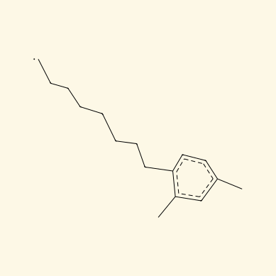 [CH2]CCCCCCCc1ccc(C)cc1C